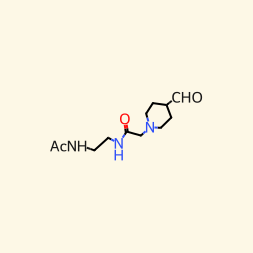 CC(=O)NCCNC(=O)CN1CCC(C=O)CC1